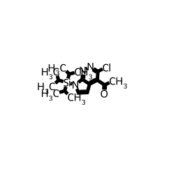 CC(=O)c1c(Cl)nnc2c1ccn2[Si](C(C)C)(C(C)C)C(C)C